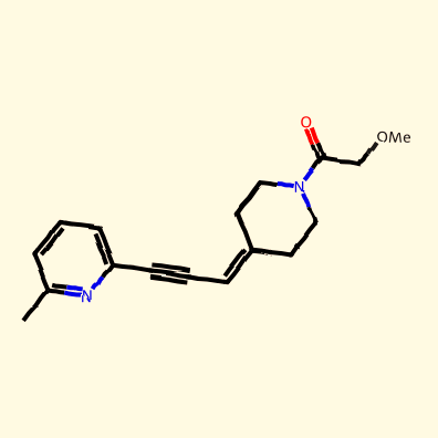 COCC(=O)N1CCC(=CC#Cc2cccc(C)n2)CC1